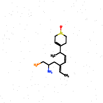 C/C=C(\C=C/C(C)C1=CC[S+]([O-])CC1)CC(N)CP